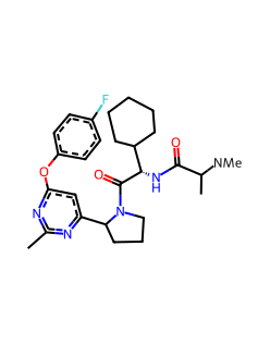 CNC(C)C(=O)N[C@H](C(=O)N1CCCC1c1cc(Oc2ccc(F)cc2)nc(C)n1)C1CCCCC1